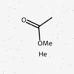 COC(C)=O.[He]